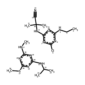 CCNc1nc(Cl)nc(NC(C)(C)C#N)n1.CNc1nc(NC(C)C)nc(SC)n1